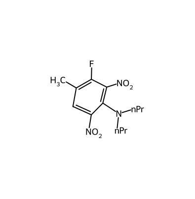 CCCN(CCC)c1c([N+](=O)[O-])cc(C)c(F)c1[N+](=O)[O-]